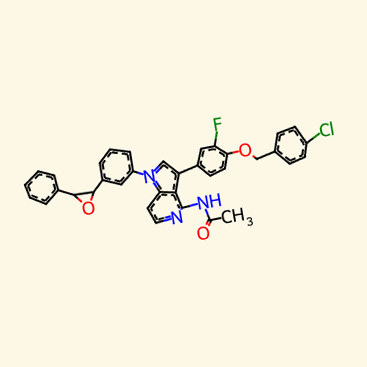 CC(=O)Nc1nccc2c1c(-c1ccc(OCc3ccc(Cl)cc3)c(F)c1)cn2-c1cccc(C2OC2c2ccccc2)c1